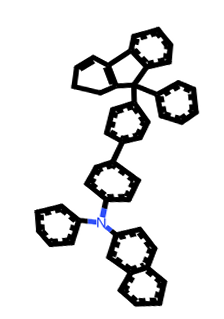 C1=CC2=C(CC1)C(c1ccccc1)(c1ccc(-c3ccc(N(c4ccccc4)c4ccc5ccccc5c4)cc3)cc1)c1ccccc12